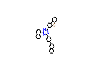 c1ccc2cc(-c3ccc(-c4nc(-c5ccc6c(c5)sc5ccccc56)nc(-c5cccc6ccccc56)n4)cc3)ccc2c1